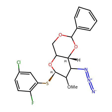 COC1C(N=[N+]=[N-])[C@H]2OC(c3ccccc3)OCC2O[C@@H]1Sc1cc(Cl)ccc1F